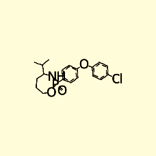 CC(C)C1CCCOP(=O)(c2ccc(Oc3ccc(Cl)cc3)cc2)N1